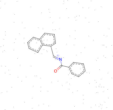 O=C(/N=C/c1cccc2ccccc12)c1ccccc1